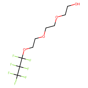 OCCOCCOCCOC(F)(F)C(F)(F)C(F)(F)F